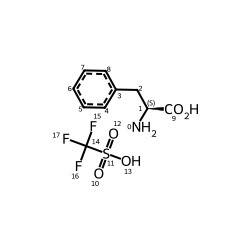 N[C@@H](Cc1ccccc1)C(=O)O.O=S(=O)(O)C(F)(F)F